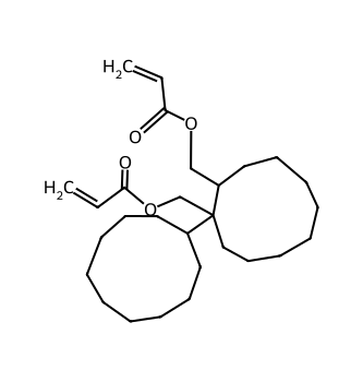 C=CC(=O)OCC1CCCCCCCCC1(COC(=O)C=C)C1CCCCCCCCC1